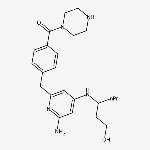 CCCC(CCO)Nc1cc(N)nc(Cc2ccc(C(=O)N3CCNCC3)cc2)c1